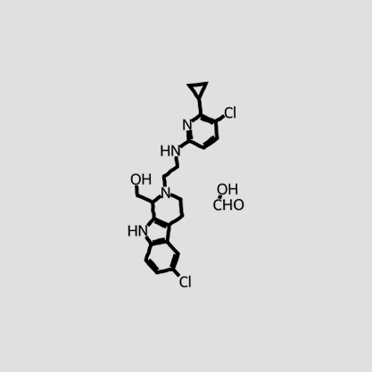 O=CO.OCC1c2[nH]c3ccc(Cl)cc3c2CCN1CCNc1ccc(Cl)c(C2CC2)n1